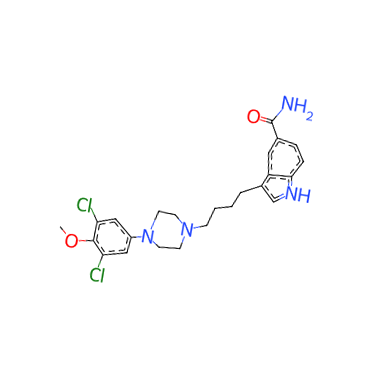 COc1c(Cl)cc(N2CCN(CCCCc3c[nH]c4ccc(C(N)=O)cc34)CC2)cc1Cl